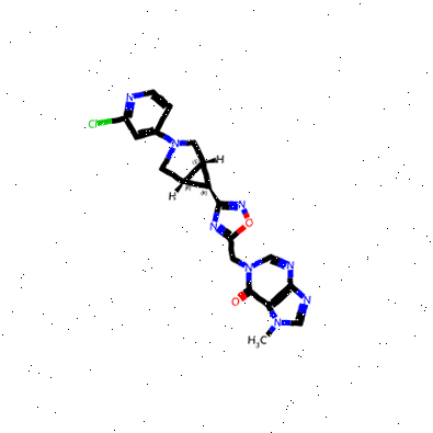 Cn1cnc2ncn(Cc3nc([C@H]4[C@@H]5CN(c6ccnc(Cl)c6)C[C@@H]54)no3)c(=O)c21